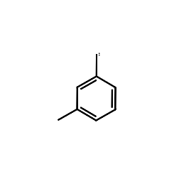 [CH]c1cccc(C)c1